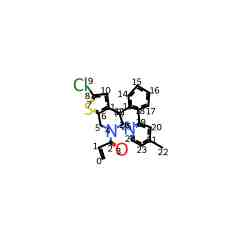 C=CC(=O)N1Cc2sc(Cl)cc2[C@@H](c2ccccc2-c2cc(C)ccn2)C1